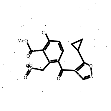 COC(=O)c1c(Cl)ccc(C(=O)c2cnoc2C2CC2)c1C[SH](=O)=O